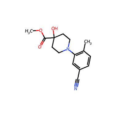 COC(=O)C1(O)CCN(c2cc(C#N)ccc2C)CC1